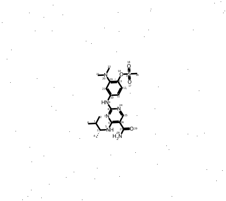 CC(C)[C@@H](C)Nc1nc(Nc2ccc(OS(C)(=O)=O)c(N(C)C)c2)ncc1C(N)=O